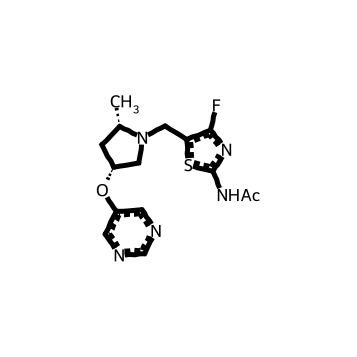 CC(=O)Nc1nc(F)c(CN2C[C@H](Oc3cncnc3)C[C@@H]2C)s1